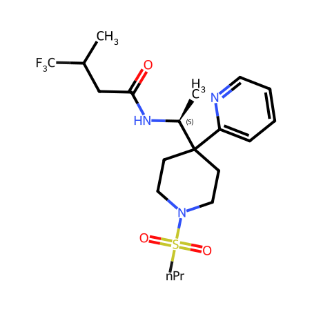 CCCS(=O)(=O)N1CCC(c2ccccn2)([C@H](C)NC(=O)CC(C)C(F)(F)F)CC1